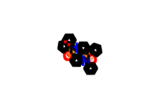 O=P1(c2ccccc2)c2cccc3c2-c2c(cccc2P(=O)(c2ccccc2)N3c2ccccc2)N1c1ccccc1